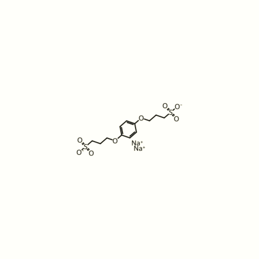 O=S(=O)([O-])CCCOc1ccc(OCCCS(=O)(=O)[O-])cc1.[Na+].[Na+]